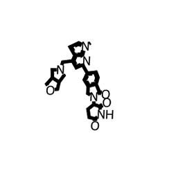 Cn1ccc2c(CN3CC4COCC4C3)cc(-c3ccc4c(c3)CN(C3CCC(=O)NC3=O)C4=O)nc21